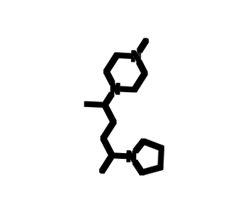 CC(CCC(C)N1CCN(C)CC1)N1CCCC1